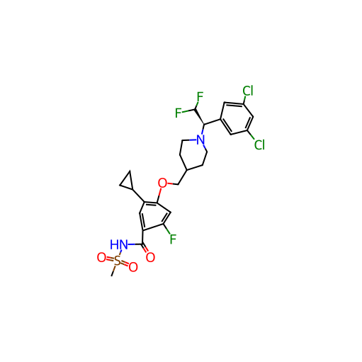 CS(=O)(=O)NC(=O)c1cc(C2CC2)c(OCC2CCN([C@H](c3cc(Cl)cc(Cl)c3)C(F)F)CC2)cc1F